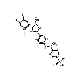 CC[C@@H](C)S(=O)(=O)N1CCC([C@H](C)Oc2cnc(N3C[C@H](c4cc(F)c(F)cc4F)[C@@H](N)C3)nc2)CC1